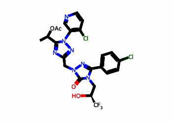 CC(=O)OC(C)c1nc(Cn2nc(-c3ccc(Cl)cc3)n(C[C@H](O)C(F)(F)F)c2=O)nn1-c1cnccc1Cl